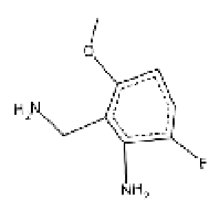 COc1ccc(F)c(N)c1CN